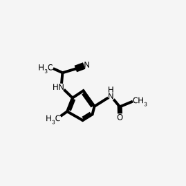 CC(=O)Nc1ccc(C)c(NC(C)C#N)c1